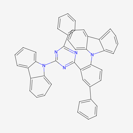 c1ccc(-c2ccc(-n3c4ccccc4c4ccccc43)c(-c3nc(-c4ccccc4)nc(-n4c5ccccc5c5ccccc54)n3)c2)cc1